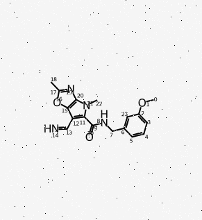 COc1cccc(CNC(=O)c2c(C=N)c3oc(C)nc3n2C)c1